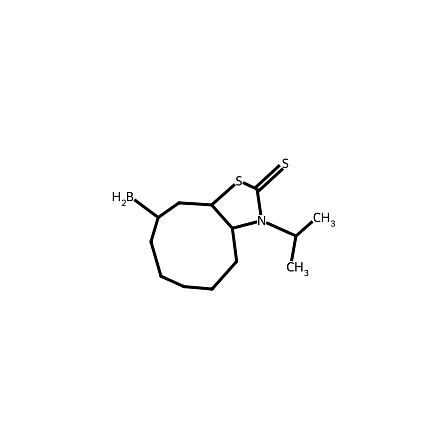 BC1CCCCCC2C(C1)SC(=S)N2C(C)C